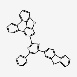 c1ccc(-c2cc(-c3ccc4c(c3)oc3ccccc34)nc(-c3cc4oc5cccc6c7ccccc7c(c3)c4c56)n2)cc1